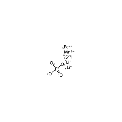 O=P([O-])([O-])[O-].[Fe+2].[Li+].[Li+].[Mn+2].[S+2]